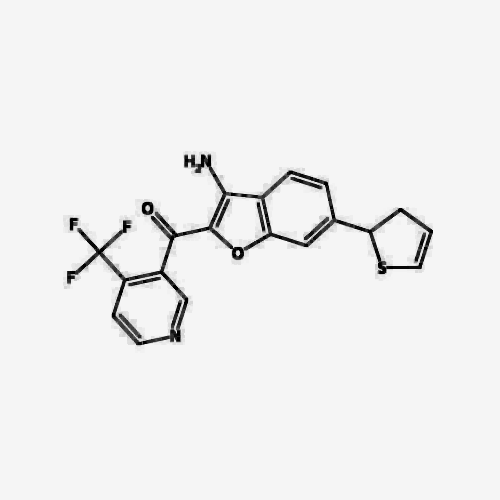 Nc1c(C(=O)c2cnccc2C(F)(F)F)oc2cc(C3CC=CS3)ccc12